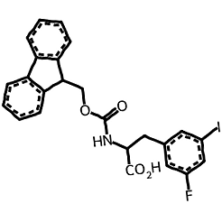 O=C(NC(Cc1cc(F)cc(I)c1)C(=O)O)OCC1c2ccccc2-c2ccccc21